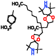 CC1(C)CC2(CC(C)(C)N1)OCC(CC(CCCCCCCC(=O)O)(CC1COC3(CC(C)(C)NC(C)(C)C3)O1)C(=O)O)O2.Cc1ccc(S(=O)(=O)O)cc1